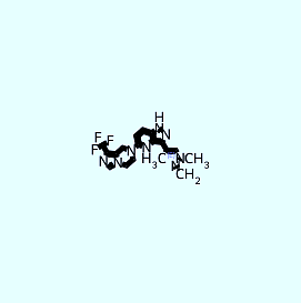 C=NN(C)/C=C(\C)c1n[nH]c2ccc(N3CCn4cnc(C(F)(F)F)c4C3)nc12